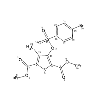 CCCOC(=O)c1sc(C(=O)OCCC)c(OS(=O)(=O)c2ccc(Br)cc2)c1C